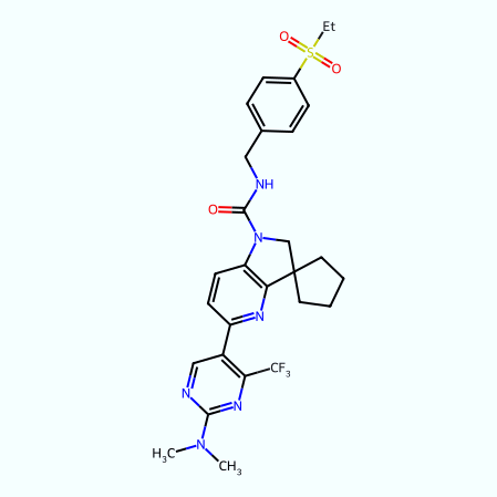 CCS(=O)(=O)c1ccc(CNC(=O)N2CC3(CCCC3)c3nc(-c4cnc(N(C)C)nc4C(F)(F)F)ccc32)cc1